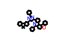 CC1(C)c2ccccc2-c2cc(-c3cc(-c4cccc5c4nc(-c4ccccc4)c4ccc6oc7ccccc7c6c45)nc(-c4ccccc4)n3)ccc21